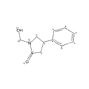 O=C1CC(c2ccccc2)CN1CO